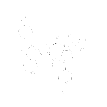 CC(C)(C)N1C[C@@H](C(=O)N2C[C@@H](N(C(=O)C3CCOCC3)[C@H]3CC[C@@H](C)CC3)C[C@H]2C(N)=O)[C@H](c2ccc(Cl)cc2)C1